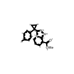 COC(=O)c1cccn2c(C3(c4ccc(C)cc4)CC3)nnc12